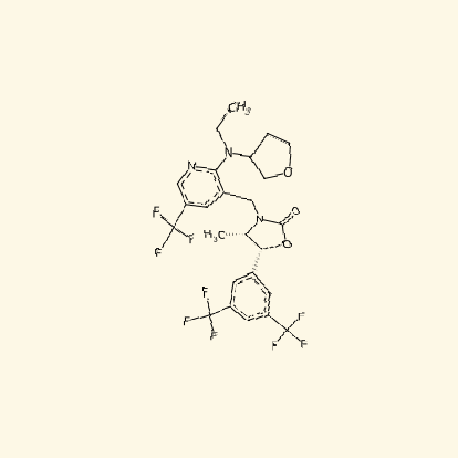 CCN(c1ncc(C(F)(F)F)cc1CN1C(=O)O[C@H](c2cc(C(F)(F)F)cc(C(F)(F)F)c2)[C@@H]1C)C1CCOC1